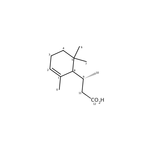 CC1=CCCC(C)(C)C1[C@H](C)CC(=O)O